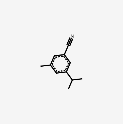 [CH2]C(C)c1cc(C)cc(C#N)c1